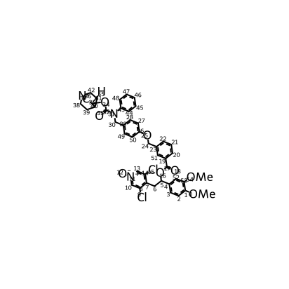 COc1ccc(C(Cc2c(Cl)c[n+]([O-])cc2Cl)OC(=O)c2cccc(COc3ccc(CN(C(=O)O[C@H]4CN5CCC4CC5)c4ccccc4)cc3)c2)cc1OC